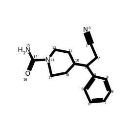 N#CCC(c1ccccc1)C1CCN(C(N)=O)CC1